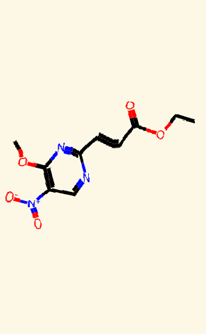 CCOC(=O)C=Cc1ncc([N+](=O)[O-])c(OC)n1